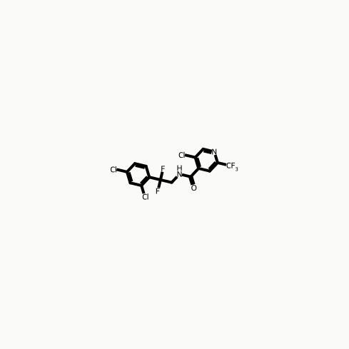 O=C(NCC(F)(F)c1ccc(Cl)cc1Cl)c1cc(C(F)(F)F)ncc1Cl